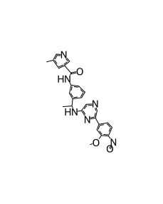 COc1cc(-c2cncc(NC(C)c3cccc(NC(=O)c4cncc(C)c4)c3)n2)ccc1N=O